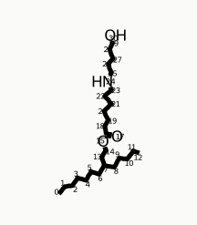 CCCCCCCC(CCCCC)CCOC(=O)CCCCCCNCCCCCO